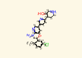 CC(Oc1cc(-c2ccc(C3CCNCC3O)nc2)cnc1N)c1cc(Cl)ccc1C(F)(F)F